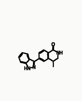 CC1CNC(=O)c2ccc(-c3n[nH]c4ccccc34)cc21